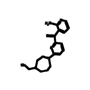 CC(C)(C)CN1CCCN(c2cccc(C(=O)c3cccnc3N)n2)CC1